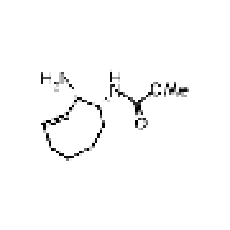 COC(=O)N[C@@H]1CCCC/C=C/[C@@H]1N